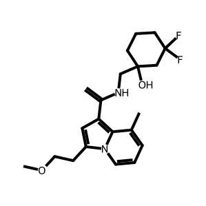 C=C(NCC1(O)CCCC(F)(F)C1)c1cc(CCOC)n2cccc(C)c12